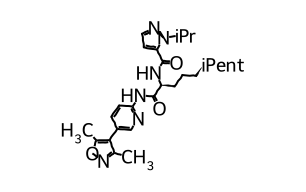 CCC[C@H](C)CCC[C@H](NC(=O)c1ccnn1C(C)C)C(=O)Nc1ccc(-c2c(C)noc2C)cn1